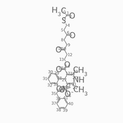 CC(=O)SCCC(=O)CCC(=O)CCOC(=O)C1=C(C)NC(C)=C([N+](=O)[O-])C1c1ccccc1OCc1ccccc1